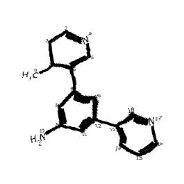 CC1CC=NC=C1c1cc(N)cc(-c2cccnc2)c1